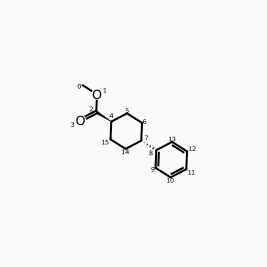 COC(=O)[C@H]1CC[C@H](c2ccccc2)CC1